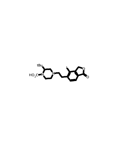 CC(C)(C)C1CN(CCc2ccc3c(c2I)COC3=O)CCN1C(=O)O